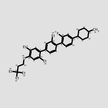 CCc1cc(-c2ccc(-c3ccc(C4CCC(C)CC4)cc3F)c(CC)c2)c(CC)cc1OCCC(CC)(CC)CC